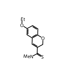 CCOc1ccc2c(c1)C=C(C(=S)NC)CO2